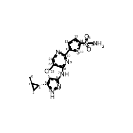 C[C@@H]1C[C@H]1c1cc(Nc2nc(-c3ccc(S(N)(=O)=O)s3)ncc2Cl)n[nH]1